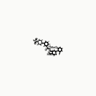 COc1cccc(F)c1-c1cc2c(NC(=O)c3cccc(N4CCN(S(C)(=O)=O)CC4)c3)n[nH]c2cn1